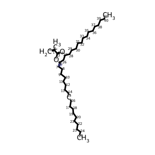 C=C(C)C(=O)O/C(=C/CCCCCCCCCCCCCCCCCC)CCCCCCCCCCCCCCCC